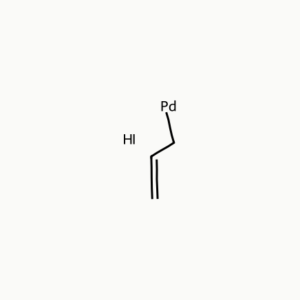 C=C[CH2][Pd].I